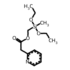 CCO[Si](C)(COC(=O)Cc1ccccn1)OCC